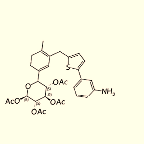 CC(=O)O[C@H]1OC(C2=CC(Cc3ccc(-c4cccc(N)c4)s3)=C(C)CC2)[C@H](OC(C)=O)[C@@H](OC(C)=O)[C@@H]1OC(C)=O